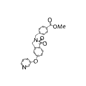 COC(=O)c1ccc(CN2Cc3cc(Oc4cccnc4)ccc3S2(=O)=O)cc1